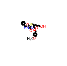 COc1ccc(COC(=O)C2=C(C/C=C/CO)CS[C@@H]3[C@H](NC(=O)Cc4ccccc4)C(=O)N23)cc1